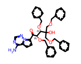 Nc1ncnn2c(C(=O)[C@H](OCc3ccccc3)[C@H](OCc3ccccc3)C(O)(COCc3ccccc3)COCc3ccccc3)ccc12